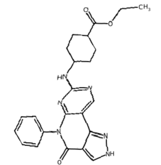 CCOC(=O)C1CCC(Nc2ncc3c4n[nH]cc4c(=O)n(-c4ccccc4)c3n2)CC1